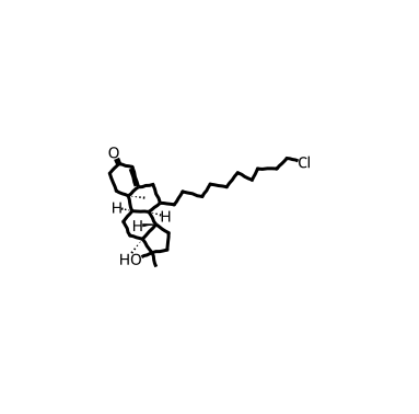 CC1(O)CC[C@H]2[C@@H]3C(CCCCCCCCCCCl)CC4=CC(=O)CC[C@]4(C)[C@@H]3CC[C@@]21C